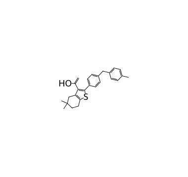 C=C(O)c1c(-c2ccc(Cc3ccc(C)cc3)cc2)sc2c1CC(C)(C)CC2